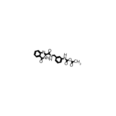 CC(=O)OC(=O)Nc1cccc(CNC(=O)c2nc3ccccc3c(=O)[nH]2)c1